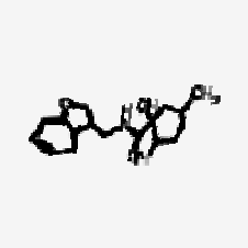 CC1CCC(C(C)C)C(O)(C(=O)NCC2COc3ccccc32)C1